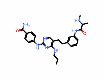 CCCNc1nc(Nc2ccc(C(N)=O)cc2)ncc1CCc1cccc(NC(=O)C(C)NC)c1